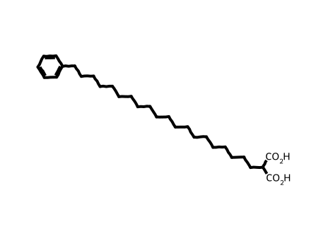 O=C(O)C(CCCCCCCCCCCCCCCCCCCCc1ccccc1)C(=O)O